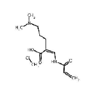 C=CC(=O)NC=C(CCCN(C)C)C(=O)O.CCl